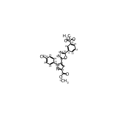 COC(=O)c1cc(-c2nnc(-c3cccc(S(C)(=O)=O)c3)o2)n(-c2ccc(Cl)cc2)n1